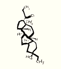 CCC(=O)[C@H]1CC[C@H]2[C@@H]3CC=C4C[C@@](O)(CC)CC[C@@H]4[C@H]3CC[C@]12C